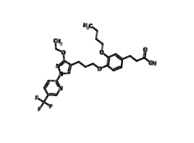 CCCCOc1cc(CCC(=O)O)ccc1OCCCc1cn(-c2ccc(C(F)(F)F)cn2)nc1OCC